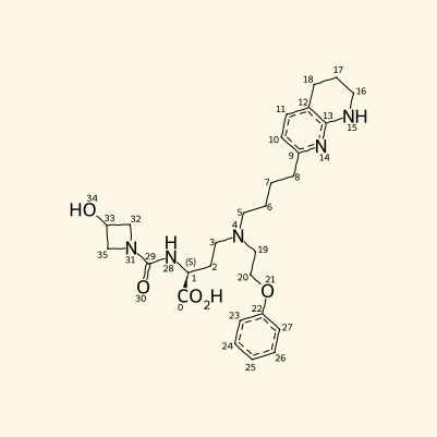 O=C(O)[C@H](CCN(CCCCc1ccc2c(n1)NCCC2)CCOc1ccccc1)NC(=O)N1CC(O)C1